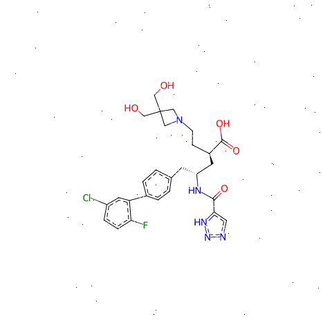 O=C(N[C@H](Cc1ccc(-c2cc(Cl)ccc2F)cc1)C[C@@H](CCN1CC(CO)(CO)C1)C(=O)O)c1cnn[nH]1